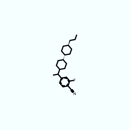 CCC[C@H]1CC[C@H](C2CCC(C(C)c3ccc(C#N)c(F)c3)CC2)CC1